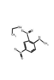 CCO.CNc1ccc([N+](=O)[O-])cc1[N+](=O)[O-]